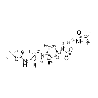 CC(C)(C)OC(=O)NC1[C@H]2CN(c3c(F)cc(N4C[C@H](CNC(=O)C(F)F)OC4=O)cc3F)C[C@@H]12